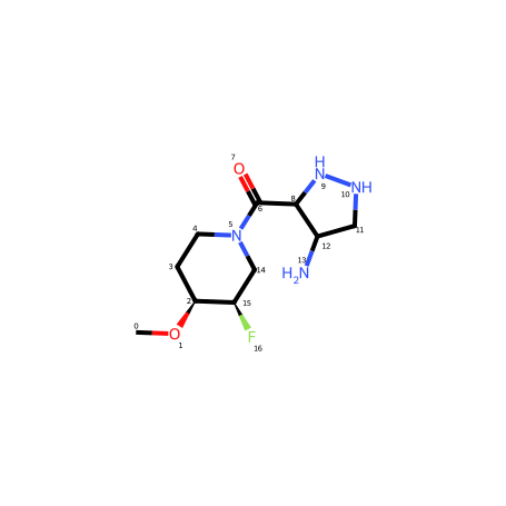 CO[C@H]1CCN(C(=O)C2NNCC2N)C[C@H]1F